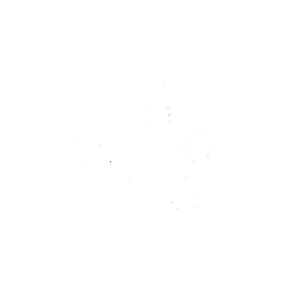 Cc1cc(B2OC(C)(C)C(C)(C)O2)c2oc3c(-c4ccccc4)cccc3c2c1